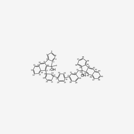 CC1(O)c2ccccc2-c2cc3ccccc3c(-c3cccc(-c4ccc(-c5cccc(CC6(O)c7ccccc7-c7cc8ccccc8cc76)c5)cc4)c3)c21